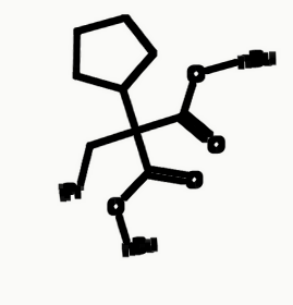 CCCCOC(=O)C(CC(C)C)(C(=O)OCCCC)C1CCCC1